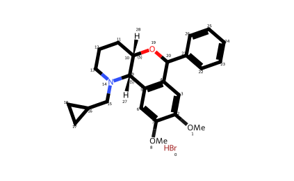 Br.COc1cc2c(cc1OC)[C@H]1[C@H](CCCN1CC1CC1)OC2c1ccccc1